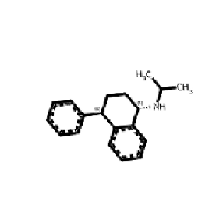 CC(C)N[C@H]1CC[C@H](c2ccccc2)c2ccccc21